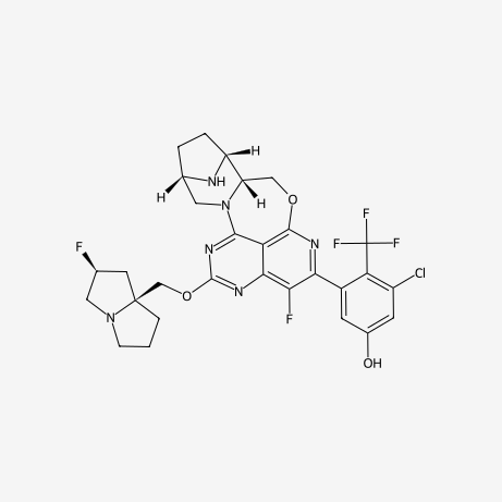 Oc1cc(Cl)c(C(F)(F)F)c(-c2nc3c4c(nc(OC[C@@]56CCCN5C[C@@H](F)C6)nc4c2F)N2C[C@@H]4CC[C@@H](N4)[C@@H]2CO3)c1